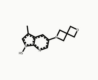 Cc1cn(S)c2ncc(N3CC4(COC4)C3)cc12